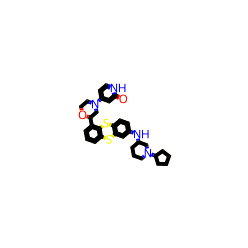 O=c1cc(N2CCOC(c3cccc4c3Sc3ccc(NC5CCCN(C6CCCC6)C5)cc3S4)C2)cc[nH]1